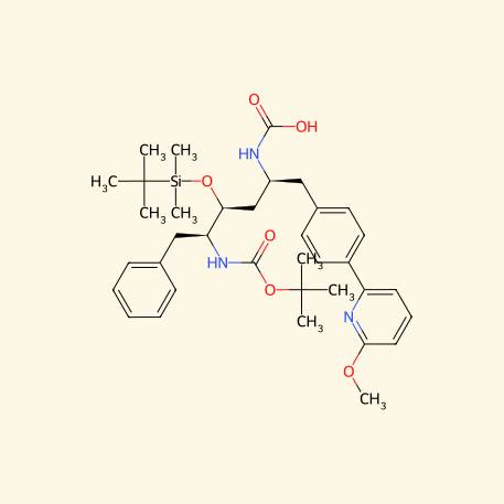 COc1cccc(-c2ccc(C[C@@H](C[C@H](O[Si](C)(C)C(C)(C)C)[C@H](Cc3ccccc3)NC(=O)OC(C)(C)C)NC(=O)O)cc2)n1